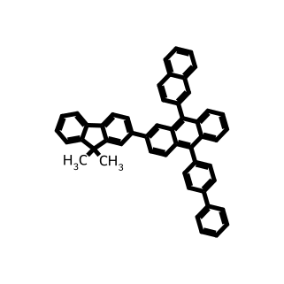 CC1(C)c2ccccc2-c2ccc(-c3ccc4c(-c5ccc(-c6ccccc6)cc5)c5ccccc5c(-c5ccc6ccccc6c5)c4c3)cc21